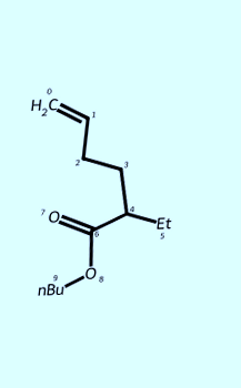 C=CCCC(CC)C(=O)OCCCC